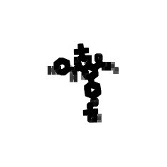 CC(C)(O)COc1ccc(-c2cc(C(N)=O)c3nc(C(C)(C)C)nc(N[C@H]4CCCNC4)c3n2)cc1